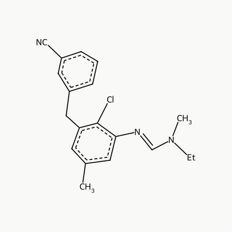 CCN(C)C=Nc1cc(C)cc(Cc2cccc(C#N)c2)c1Cl